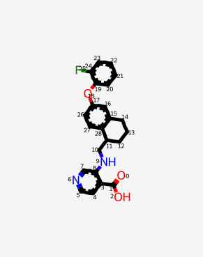 O=C(O)c1ccncc1NCC1CCCc2cc(Oc3ccccc3F)ccc21